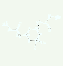 CCCCOC(=O)N[C@H]1C[C@@H](NC(=O)OC(C)(C)C)CC(F)(F)C1